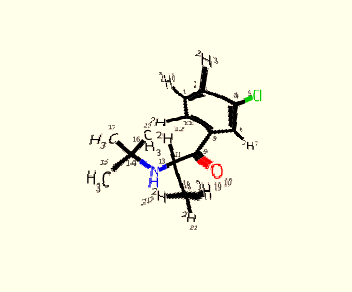 [2H]c1c([2H])c(Cl)c([2H])c(C(=O)C([2H])(NC(C)(C)C)C([2H])([2H])[2H])c1[2H]